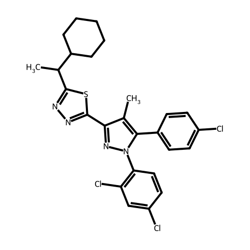 Cc1c(-c2nnc(C(C)C3CCCCC3)s2)nn(-c2ccc(Cl)cc2Cl)c1-c1ccc(Cl)cc1